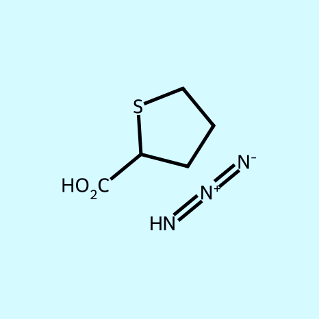 O=C(O)C1CCCS1.[N-]=[N+]=N